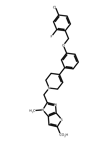 Cn1c(CN2CC=C(c3cccc(OCc4ccc(Cl)cc4F)c3)CC2)nc2sc(C(=O)O)cc21